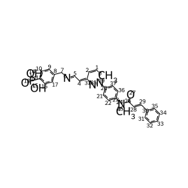 C\C=C/C(=C\C=N\Cc1ccc(P(=O)(O)O)cc1)/N=N/c1ccc(N(C)C(=O)/C=C/c2ccccc2)cc1